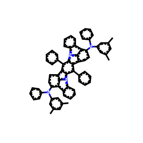 Cc1cc(C)cc(N(c2ccccc2)c2ccc3c4c(-c5ccccc5)c5c(c(-c6ccccc6)c4n4c6ccccc6c2c34)c2ccc(N(c3ccccc3)c3cc(C)cc(C)c3)c3c4ccccc4n5c23)c1